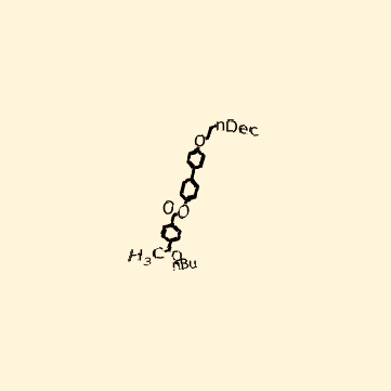 CCCCCCCCCCCCOc1ccc(-c2ccc(OC(=O)c3ccc(C(C)OCCCC)cc3)cc2)cc1